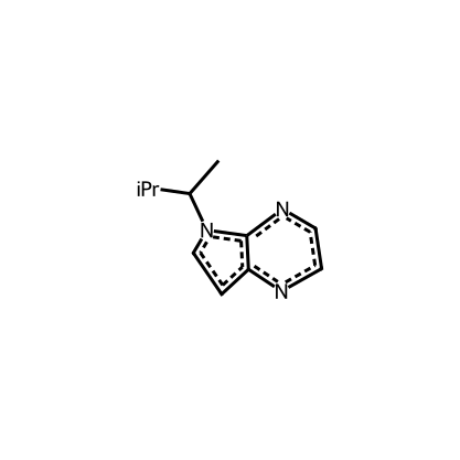 CC(C)C(C)n1ccc2nccnc21